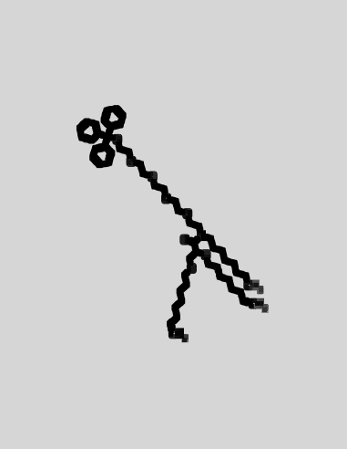 C=CCCCCCCOCC(OCCCCCCC=C)C(=O)N(CCCCCCCC)CCOCCOCCOCCOCCOC(c1ccccc1)(c1ccccc1)c1ccccc1